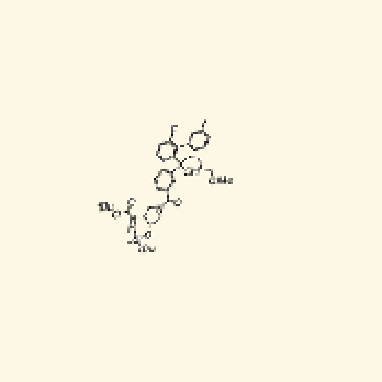 COCCCCC(O)(c1cccc(C(=O)N2C[C@H](O[Si](C)(C)C(C)(C)C)[C@H](NC(=O)OC(C)(C)C)C2)c1)c1cccc(F)c1-c1cccc(C)c1